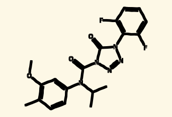 COc1cc(N(C(=O)n2nnn(-c3c(F)cccc3F)c2=O)C(C)C)ccc1C